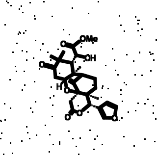 C=C1C2CC[C@@]3(C)[C@H](c4ccoc4)OC(=O)C[C@]13O[C@H]1CC(=O)C(C)(C)[C@H](C(O)C(=O)OC)[C@@]21C